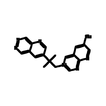 CC(C)(C)c1cnc2nc[n+](CC(C)(C)c3cnc4cnncc4c3)cc2c1